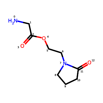 NCC(=O)OCCN1CCCC1=O